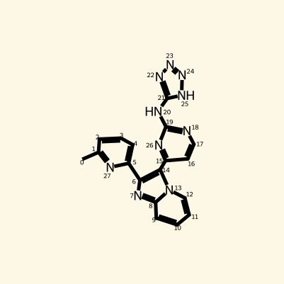 Cc1cccc(-c2nc3ccccn3c2-c2ccnc(Nc3nnn[nH]3)n2)n1